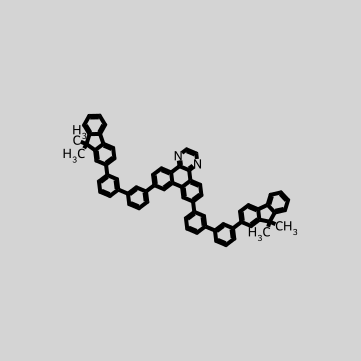 CC1(C)c2ccccc2-c2ccc(-c3cccc(-c4cccc(-c5ccc6c(c5)c5cc(-c7cccc(-c8cccc(-c9ccc%10c(c9)C(C)(C)c9ccccc9-%10)c8)c7)ccc5c5nccnc65)c4)c3)cc21